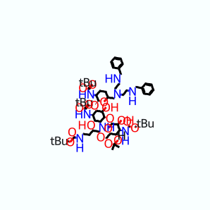 CC(C)(C)OC(=O)NCC[C@H](O)C(=O)N[C@@H]1C[C@@H](NC(=O)OC(C)(C)C)C(O[C@H]2OC(CN(CCNCc3ccccc3)CCNCc3ccccc3)CCC2NC(=O)OC(C)(C)C)C(O)[C@H]1O[C@H]1OC2COC(C)(C)O[C@H]2[C@H](NC(=O)OC(C)(C)C)C1O